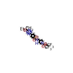 C=C(OCC)c1nnc(-c2ccc(S(=O)(=O)NCC3CCN(C(=O)OC(C(F)(F)F)C(F)(F)F)CC3)cc2)nn1